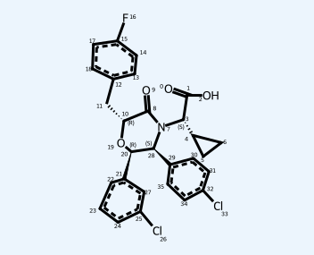 O=C(O)[C@H](C1CC1)N1C(=O)[C@@H](Cc2ccc(F)cc2)O[C@H](c2cccc(Cl)c2)[C@@H]1c1ccc(Cl)cc1